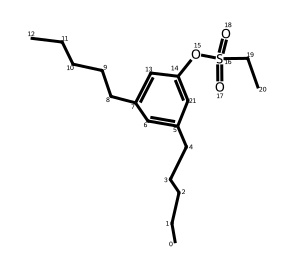 CCCCCc1cc(CCCCC)cc(OS(=O)(=O)CC)c1